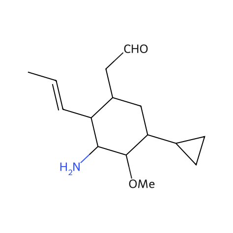 C/C=C/C1C(CC=O)CC(C2CC2)C(OC)C1N